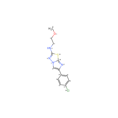 COCCNc1nn2cc(-c3ccc(Cl)cc3)nc2s1